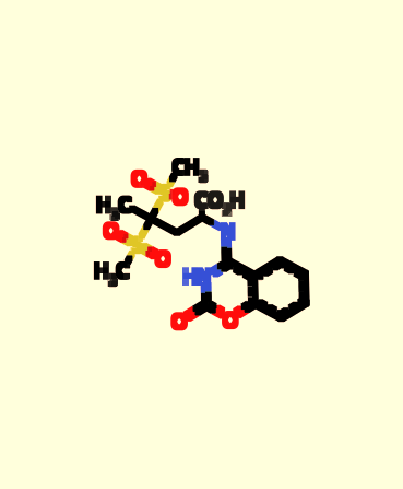 CC(CC(/N=c1\[nH]c(=O)oc2ccccc12)C(=O)O)(S(C)(=O)=O)S(C)(=O)=O